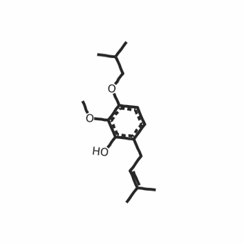 COc1c(OCC(C)C)ccc(CC=C(C)C)c1O